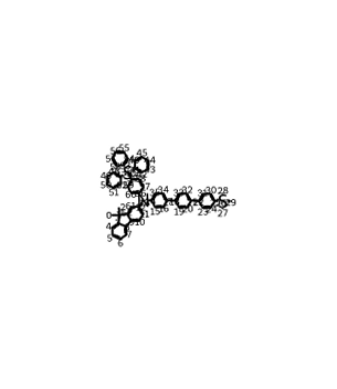 CC1(C)c2ccccc2-c2ccc(N(c3ccc(-c4ccc(-c5ccc(S(C)(C)C)cc5)cc4)cc3)c3ccc(S(c4ccccc4)(c4ccccc4)c4ccccc4)cc3)cc21